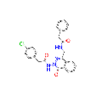 O=C(Cc1ccccc1)NCc1nn(NC(=O)Cc2ccc(Cl)cc2)c(=O)c2ccccc12